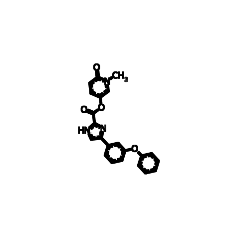 Cn1cc(OC(=O)c2nc(-c3cccc(Oc4ccccc4)c3)c[nH]2)ccc1=O